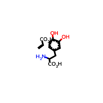 C=CC(=O)O.NC(Cc1ccc(O)c(O)c1)C(=O)O